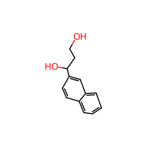 OCCC(O)c1ccc2ccccc2c1